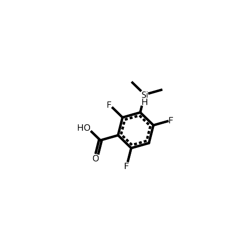 C[SiH](C)c1c(F)cc(F)c(C(=O)O)c1F